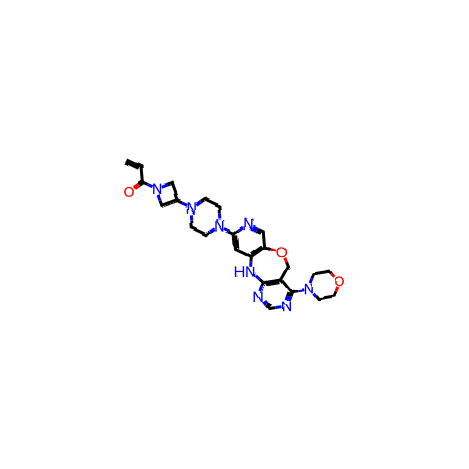 C=CC(=O)N1CC(N2CCN(c3cc4c(cn3)OCc3c(ncnc3N3CCOCC3)N4)CC2)C1